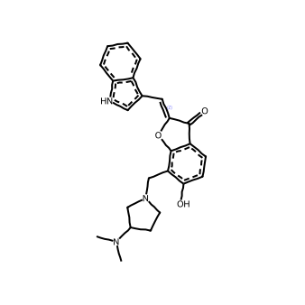 CN(C)C1CCN(Cc2c(O)ccc3c2O/C(=C\c2c[nH]c4ccccc24)C3=O)C1